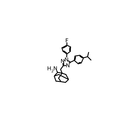 CC(C)c1ccc(-c2nc(CC34CC5CC(CC(C5)C3N)C4)nn2-c2ccc(F)cc2)cc1